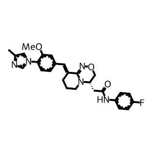 COc1cc(/C=C2\CCCN3C2=NOC[C@@H]3CC(=O)Nc2ccc(F)cc2)ccc1-n1cnc(C)c1